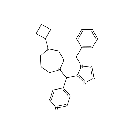 c1ccc(Cn2nnnc2C(c2ccncc2)N2CCCN(C3CCC3)CC2)cc1